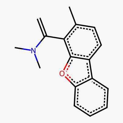 C=C(c1c(C)ccc2c1oc1ccccc12)N(C)C